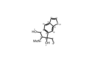 CNC(CO)C(O)(CF)c1ccc2ccsc2c1